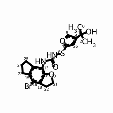 CC(C)(O)c1coc(SNC(=O)Nc2c3c(c(Br)c4c2OCC4)CCC3)c1